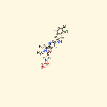 CN(C(=O)C1CN(C(=O)CO)C1)[C@@H](c1ccc(NC2Cc3ccc(Cl)c(Cl)c3C2)cn1)C(F)(F)F